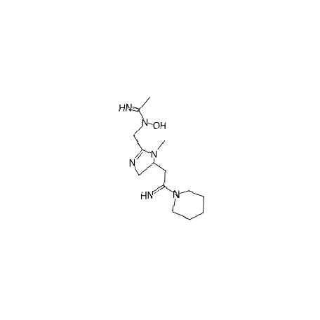 CC(=N)N(O)CC1=NCC(CC(=N)N2CCCCC2)N1C